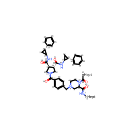 CCCCCCCNC(=O)C1CN(Cc2ccc(C(=O)N3C[C@@H](C(=O)N[C@H]4C[C@@H]4c4ccccc4)[C@H](C(=O)N[C@H]4C[C@@H]4c4ccccc4)C3)cc2)CCN1C(=O)CCCCCCC